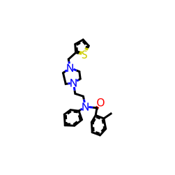 Cc1ccccc1C(=O)N(CCN1CCN(Cc2cccs2)CC1)c1ccccc1